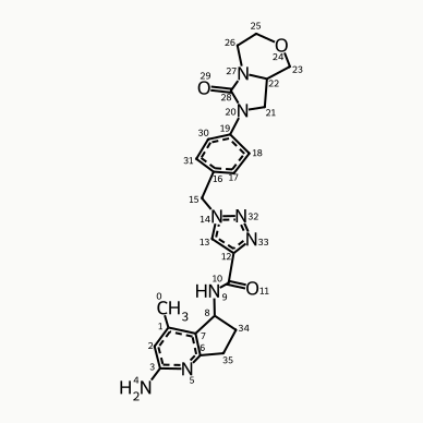 Cc1cc(N)nc2c1C(NC(=O)c1cn(Cc3ccc(N4CC5COCCN5C4=O)cc3)nn1)CC2